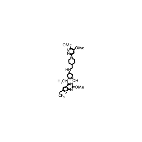 COc1nc(N(C)[C@H]2C[C@@H](NCC3CCN(c4cc(OC)c(OC)nn4)CC3)C[C@H]2O)c2cc(CC(F)(F)F)sc2n1